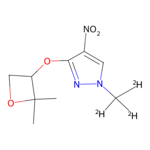 [2H]C([2H])([2H])n1cc([N+](=O)[O-])c(OC2COC2(C)C)n1